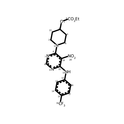 CCOC(=O)OC1CCN(c2ncnc(Nc3ccc(C(F)(F)F)cc3)c2[N+](=O)[O-])CC1